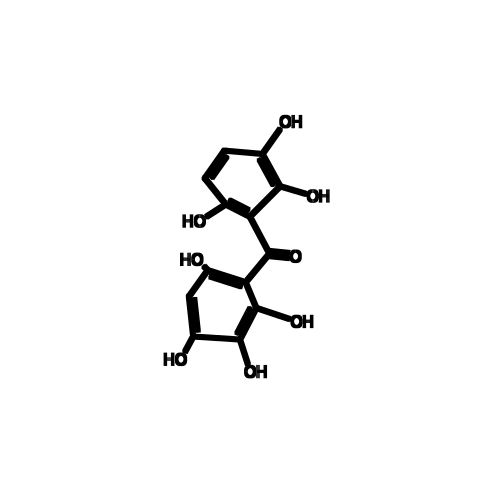 O=C(c1c(O)ccc(O)c1O)c1c(O)cc(O)c(O)c1O